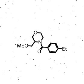 CCc1ccc(C(=O)N2CCOCC2COC)cc1